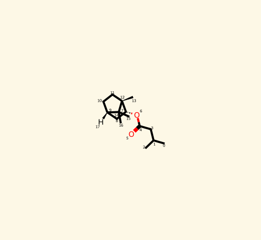 CC(C)CC(=O)O[C@@H]1C[C@@H]2CC[C@@]1(C)C2(C)C